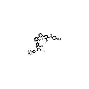 COc1nc(-c2cccc(-c3ccnc(-c4cc5c(=O)n(C)c(CN6CC(C)(O)C6)nn5c4)c3Cl)c2Cl)ccc1CNC1CCC(O)CC1